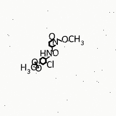 CCOCCn1cc(C(=O)NCc2ccc(S(C)(=O)=O)cc2Cl)ccc1=O